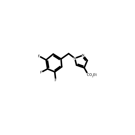 CCOC(=O)c1cnn(Cc2cc(F)c(F)c(F)c2)c1